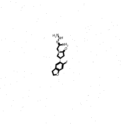 NN/N=C(\N)CN1C[C@@H](c2cc3c(cc2F)OCC3)CC1=O